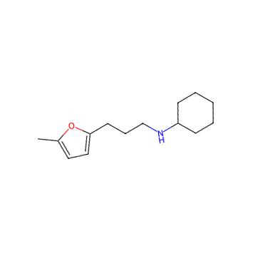 Cc1ccc(CCCNC2CCCCC2)o1